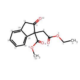 CCOC(=O)CC1(C(=O)OC)C(=O)Cc2ccccc21